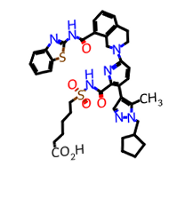 Cc1c(-c2ccc(N3CCc4cccc(C(=O)Nc5nc6ccccc6s5)c4C3)nc2C(=O)NS(=O)(=O)CCCCCC(=O)O)cnn1CC1CCCC1